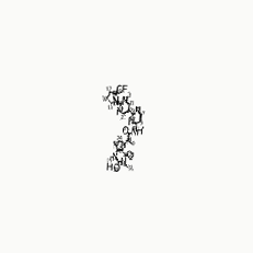 C[C@H](C(=O)Nc1ccnc(-c2cnc(N3CCC[C@@H]3C(F)(F)F)nc2)n1)n1cnc2c1C(=O)N(C)C(O)N2C